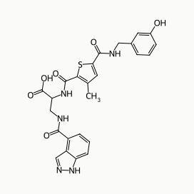 Cc1cc(C(=O)NCc2cccc(O)c2)sc1C(=O)NC(CNC(=O)c1cccc2[nH]ncc12)C(=O)O